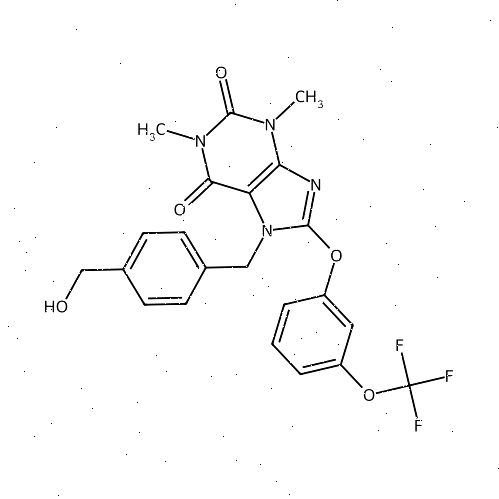 Cn1c(=O)c2c(nc(Oc3cccc(OC(F)(F)F)c3)n2Cc2ccc(CO)cc2)n(C)c1=O